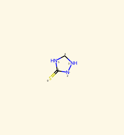 S=C1[N]NCN1